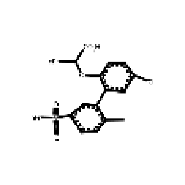 CCCC(Oc1ccc(Cl)cc1-c1cc(S(=O)(=O)CCC)ccc1C)C(=O)O